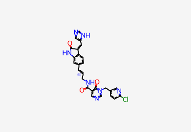 O=C1Nc2cc(/C=C/CNC(=O)c3cncn(Cc4ccc(Cl)nc4)c3=O)ccc2C1=Cc1cnc[nH]1